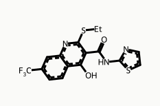 CCSc1nc2cc(C(F)(F)F)ccc2c(O)c1C(=O)Nc1nccs1